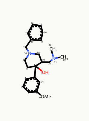 COc1cccc(C2(O)CCN(Cc3ccccc3)CC2CN(C)C)c1